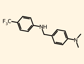 CN(C)c1ccc(CNc2ccc(C(F)(F)F)cc2)cc1